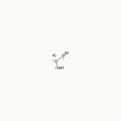 N#CO[SeH].[K]